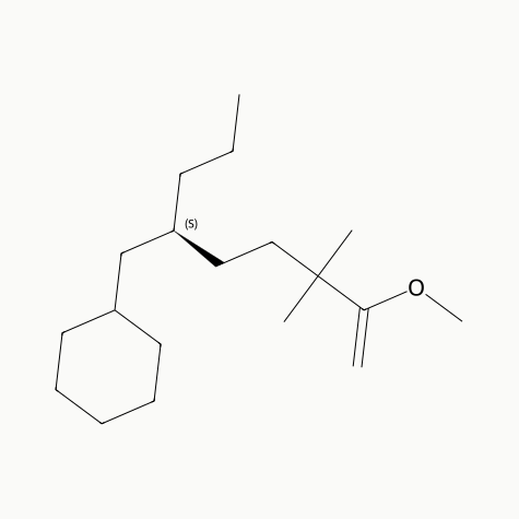 C=C(OC)C(C)(C)CC[C@H](CCC)CC1CCCCC1